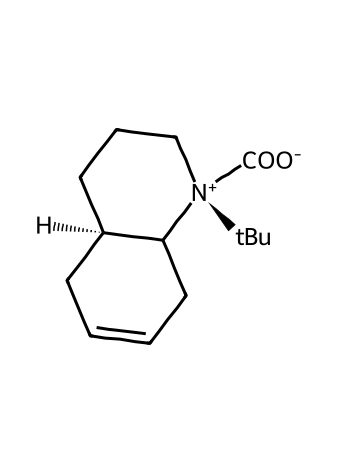 CC(C)(C)[N@+]1(C(=O)[O-])CCC[C@@H]2CC=CCC21